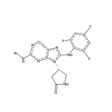 CC(C)Nc1ncc2nc(Nc3c(F)cc(F)cc3F)n([C@@H]3CNC(=O)C3)c2n1